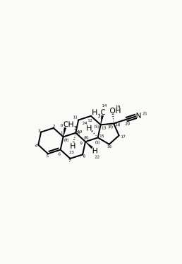 C[C@]12CCCC=C1CC[C@@H]1[C@@H]2CC[C@@]2(C)[C@H]1CC[C@]2(O)C#N